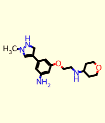 CN1C=C(c2cc(N)cc(OCCNC3CCOCC3)c2)CN1